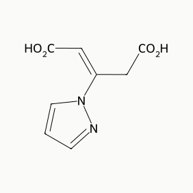 O=C(O)/C=C(/CC(=O)O)n1cccn1